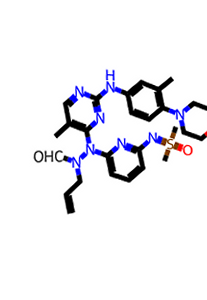 C=CCN(C=O)N(c1cccc(N=S(C)(C)=O)n1)c1nc(Nc2ccc(N3CCOCC3)c(C)c2)ncc1C